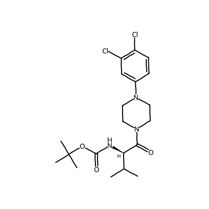 CC(C)[C@@H](NC(=O)OC(C)(C)C)C(=O)N1CCN(c2ccc(Cl)c(Cl)c2)CC1